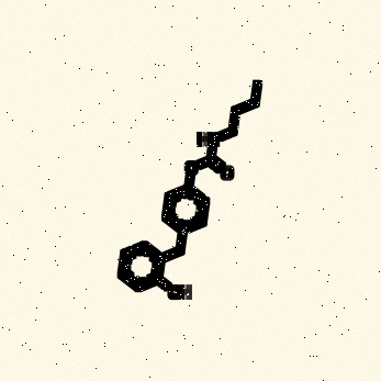 CCCCNC(=O)Oc1ccc(Cc2ccccc2O)cc1